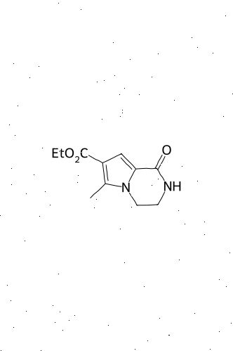 CCOC(=O)c1cc2n(c1C)CCNC2=O